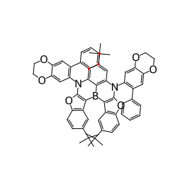 CC(C)(C)c1cc2c3c(c1)N(c1cc4c(cc1-c1ccccc1)OCCO4)c1oc4ccc(C(C)(C)C)cc4c1B3c1c(oc3ccc(C(C)(C)C)cc13)N2c1cc2c(cc1-c1ccccc1)OCCO2